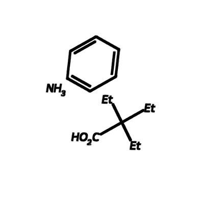 CCC(CC)(CC)C(=O)O.N.c1ccccc1